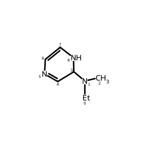 CCN(C)C1C=NC=[C]N1